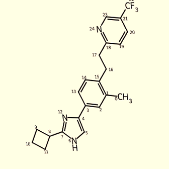 Cc1cc(-c2c[nH]c(C3CCC3)n2)ccc1CCc1ccc(C(F)(F)F)cn1